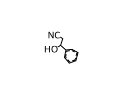 N#CCC(O)c1ccccc1